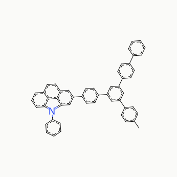 Cc1ccc(-c2cc(-c3ccc(-c4ccccc4)cc3)cc(-c3ccc(-c4cc5ccc6cccc7c6c5c(c4)n7-c4ccccc4)cc3)c2)cc1